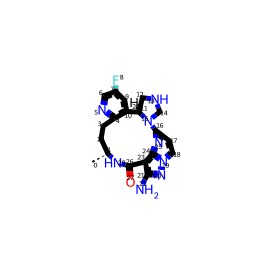 C[C@@H]1CCc2ncc(F)cc2[C@H]2CNCN2c2ccn3nc(N)c(c3n2)C(=O)N1